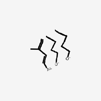 C=C(C)C=[CH][Ti+2].CCCC[O-].CCCC[O-]